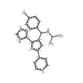 CC(C)NC(c1ccc(Cl)cc1)c1cc(-c2ccncc2)sc1-c1nnc[nH]1